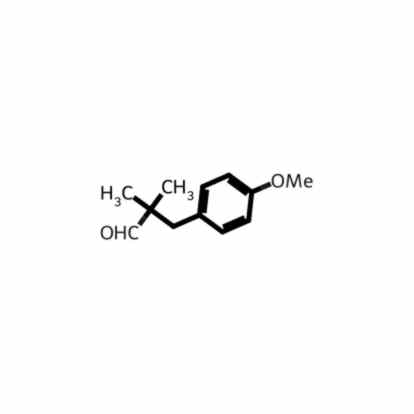 COc1ccc(CC(C)(C)C=O)cc1